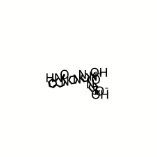 O=C1Nc2ccccc2CCN1C1CCN(c2cc(N3CCS([O-])(O)CC3)c([N+](=O)O)cn2)CC1